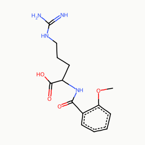 COc1ccccc1C(=O)NC(CCCNC(=N)N)C(=O)O